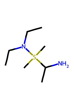 CCN(CC)S(C)(C)C(C)N